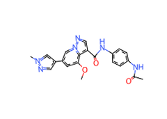 COc1cc(-c2cnn(C)c2)cn2ncc(C(=O)Nc3ccc(NC(C)=O)cc3)c12